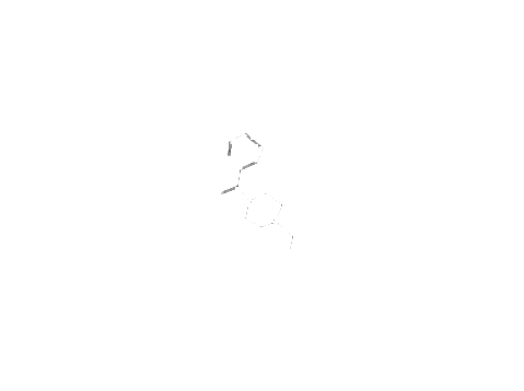 O=CCN1CCN(C(=O)c2ccccc2)CC1